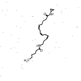 CCCCCC(=O)NCC/C=C\C/C=C\C/C=C\CCCC(=O)NC1CC1